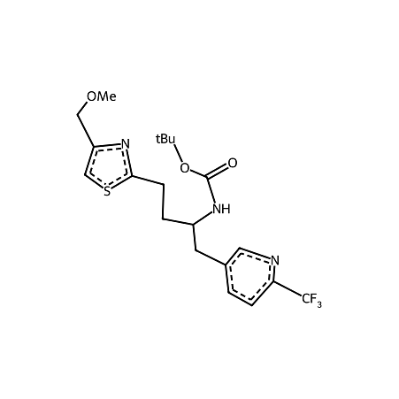 COCc1csc(CCC(Cc2ccc(C(F)(F)F)nc2)NC(=O)OC(C)(C)C)n1